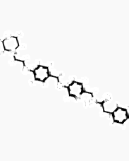 O=C(Cc1ccccc1)NCc1ccc(OCc2ccc(OCCN3CCOCC3)cc2)cn1